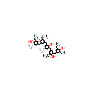 CCc1cc(Cc2cc(C)cc(Cc3cc(C)c(O)c(Cc4cc(C)c(O)c(C)c4)c3)c2O)cc(Cc2cc(C)c(O)c(C)c2)c1O